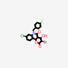 O=c1oc2c(c(O)c1Br)c(=O)n(Cc1ccc(F)cc1)c1cc(Cl)ccc21